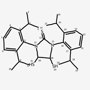 CC(C)c1cccc(C(C)C)c1N1C(=S)N(c2c(C(C)C)cccc2C(C)C)C(S)C1S